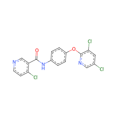 O=C(Nc1ccc(Oc2ncc(Cl)cc2Cl)cc1)c1cnccc1Cl